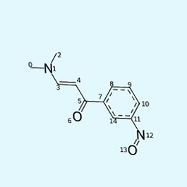 CN(C)/C=C/C(=O)c1cccc(N=O)c1